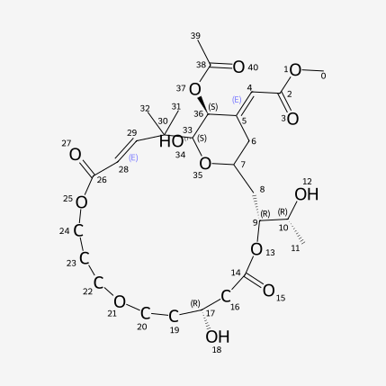 COC(=O)/C=C1\CC2C[C@H]([C@@H](C)O)OC(=O)C[C@H](O)CCOCCCOC(=O)/C=C/C(C)(C)[C@](O)(O2)[C@H]1OC(C)=O